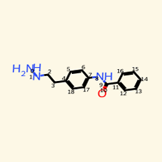 NNCCc1ccc(NC(=O)c2ccccc2)cc1